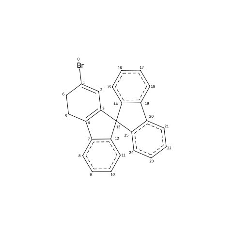 BrC1=CC2=C(CC1)c1ccccc1C21c2ccccc2-c2ccccc21